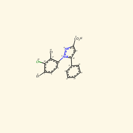 CCc1ccc(-n2nc(C(=O)O)cc2-c2ccccc2)c(CC)c1Cl